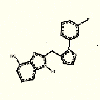 CCn1c(Cc2ccnn2-c2cccc(F)c2)nc2c(C#N)cccc21